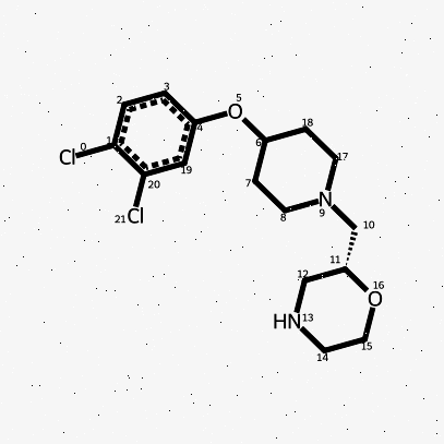 Clc1ccc(OC2CCN(C[C@H]3CNCCO3)CC2)cc1Cl